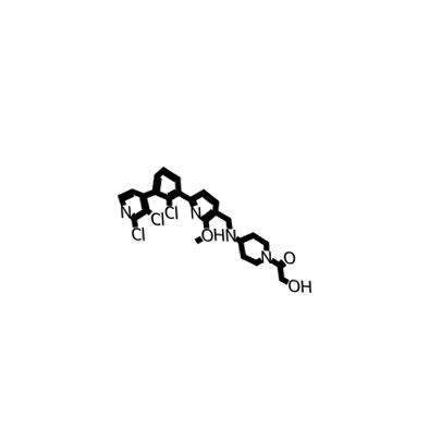 COc1nc(-c2cccc(-c3ccnc(Cl)c3Cl)c2Cl)ccc1CNC1CCN(C(=O)CO)CC1